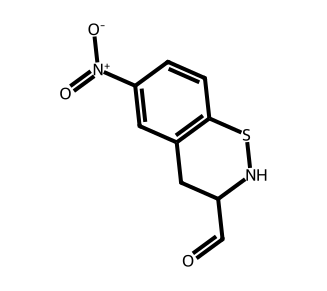 O=CC1Cc2cc([N+](=O)[O-])ccc2SN1